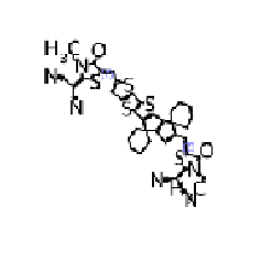 CCn1c(=C(C#N)C#N)s/c(=C\C2=CC3=C(c4sc5c(sc6cc(/C=c7\sc(=C(C#N)C#N)n(CC)c7=O)sc65)c4C34CCCCC4)C23CCCCC3)c1=O